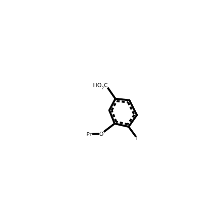 CC(C)Oc1cc(C(=O)O)ccc1I